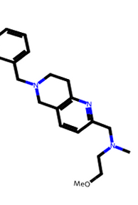 COCCN(C)Cc1ccc2c(n1)CCN(Cc1ccccc1)C2